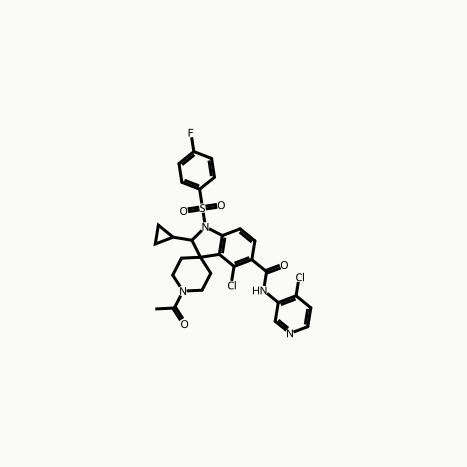 CC(=O)N1CCC2(CC1)c1c(ccc(C(=O)Nc3cnccc3Cl)c1Cl)N(S(=O)(=O)c1ccc(F)cc1)C2C1CC1